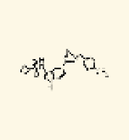 O=S(=O)(Nc1c[nH]c2ccc(-c3cnn(Cc4ccc(C(F)(F)F)cc4)c3)cc12)C1CCC1